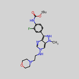 CN1NC(c2ccc(NC(=O)OC(C)(C)C)c(F)c2)=C2N=CN(NCCN3CCOCC3)C=C21